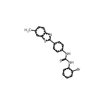 Cc1ccc2nc(-c3ccc(NC(=S)Nc4ccccc4Br)cc3)sc2c1